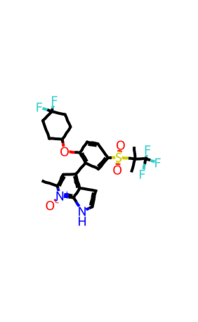 Cc1cc(-c2cc(S(=O)(=O)C(C)(C)C(F)(F)F)ccc2OC2CCC(F)(F)CC2)c2cc[nH]c2[n+]1[O-]